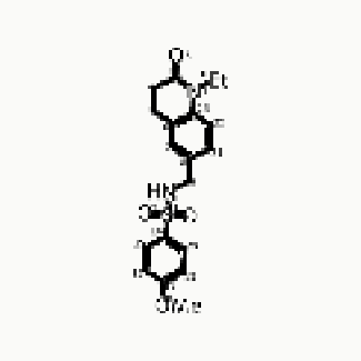 CCN1C(=O)CCc2cc(CNS(=O)(=O)c3ccc(OC)cc3)ccc21